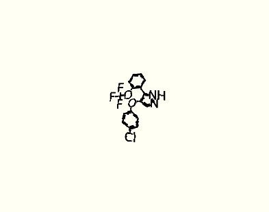 FC(F)(F)Oc1ccccc1-c1[nH]ncc1Oc1ccc(Cl)cc1